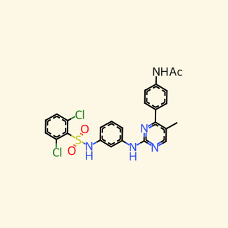 CC(=O)Nc1ccc(-c2nc(Nc3cccc(NS(=O)(=O)c4c(Cl)cccc4Cl)c3)ncc2C)cc1